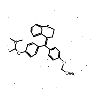 COCOc1ccc(C(=C2CCSc3ccccc32)c2ccc(OC(C)N(C)C)cc2)cc1